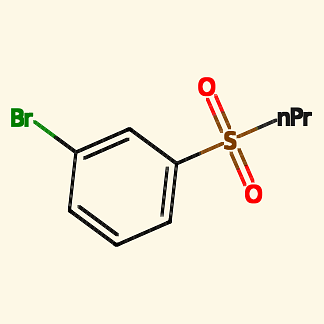 CCCS(=O)(=O)c1cccc(Br)c1